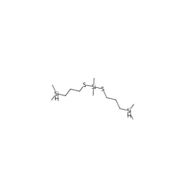 C[SiH](C)CCCS[Si](C)(C)SCCC[SiH](C)C